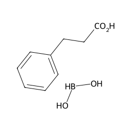 O=C(O)CCc1ccccc1.OBO